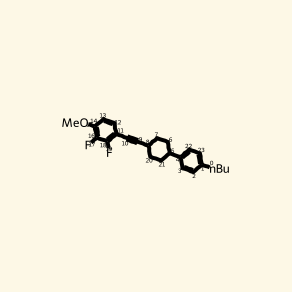 CCCCc1ccc(C2CCC(C#Cc3ccc(OC)c(F)c3F)CC2)cc1